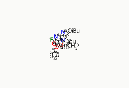 CC(C)COc1ccc(-c2cnc(CF)c([C@H](OC(C)(C)C)C(=O)OCc3ccccc3)c2N2CCC(C)(C)CC2)nc1